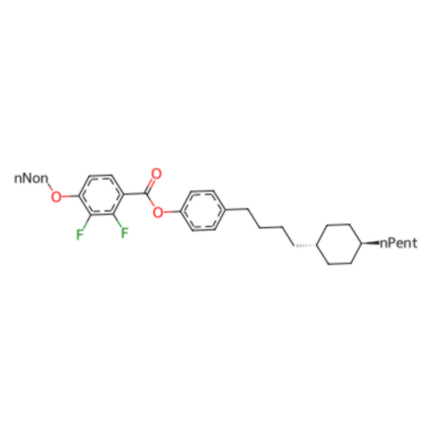 CCCCCCCCCOc1ccc(C(=O)Oc2ccc(CCCC[C@H]3CC[C@H](CCCCC)CC3)cc2)c(F)c1F